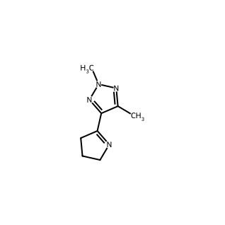 Cc1nn(C)nc1C1=NCCC1